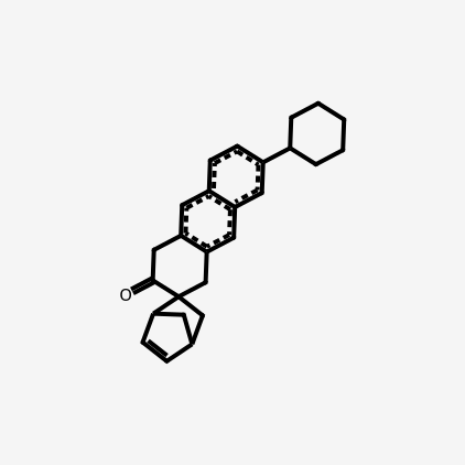 O=C1Cc2cc3ccc(C4CCCCC4)cc3cc2CC12CC1C=CC2C1